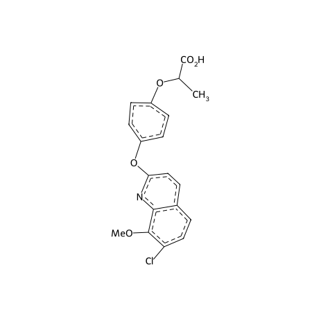 COc1c(Cl)ccc2ccc(Oc3ccc(OC(C)C(=O)O)cc3)nc12